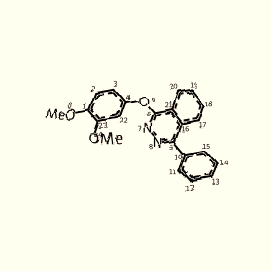 COc1ccc(Oc2nnc(-c3ccccc3)c3ccccc23)cc1OC